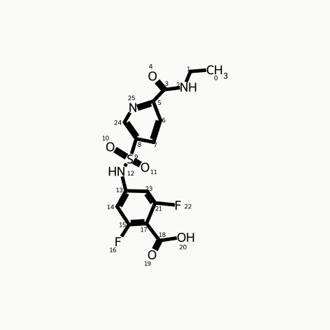 CCNC(=O)c1ccc(S(=O)(=O)Nc2cc(F)c(C(=O)O)c(F)c2)cn1